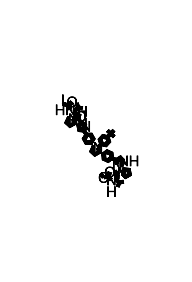 C=C([C@@H](NC(=O)OC)C(C)C)N1CCC[C@H]1c1nc(-c2ccc([C@@H]3CC[C@@H](c4ccc(-c5cc([C@@H]6CCCN6C(=O)[C@@H](NC(=O)CI)C(C)C)[nH]n5)cc4)N3c3ccc(C(C)(C)C)cc3)cc2)c[nH]1